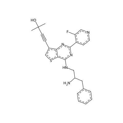 CC(C)(O)C#Cc1csc2c(NCC(N)Cc3ccccc3)nc(-c3ccncc3F)nc12